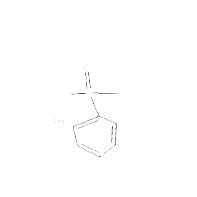 CP(C)(=O)c1[c]cccc1.[LiH]